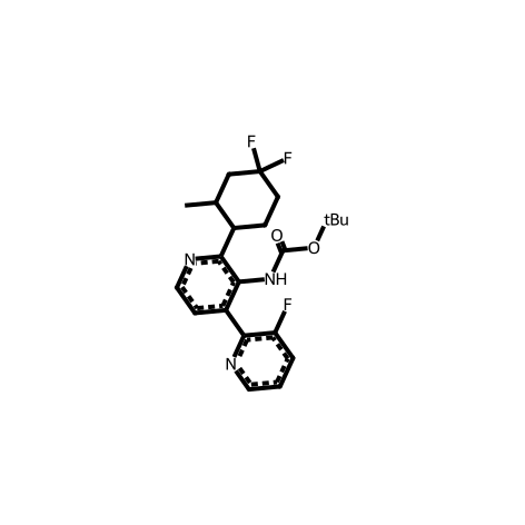 CC1CC(F)(F)CCC1c1nccc(-c2ncccc2F)c1NC(=O)OC(C)(C)C